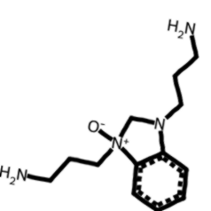 NCCCN1C[N+]([O-])(CCCN)c2ccccc21